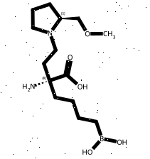 COC[C@@H]1CCCN1CC[C@](N)(CCCCB(O)O)C(=O)O